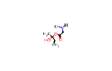 C=CC(C)(O)OC(=O)CN(CC)CC